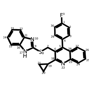 Fc1ccc(-c2c(CSc3nc4ccccc4[nH]3)c(C3CC3)nc3ccccc23)cc1